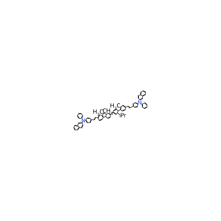 Cc1cc(/C=C/c2ccc(N(c3ccccc3)c3ccc4ccccc4c3)cc2)ccc1C1C=CC(C2=CC3C(C=C2)c2ccc(/C=C/c4ccc(N(c5ccccc5)c5ccc6ccccc6c5)cc4)cc2C3(C)C)=CC1C(C)C